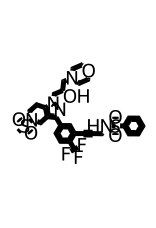 CS(=O)(=O)N1CCc2c(c(-c3ccc(C(F)(F)F)c(C#CCNS(=O)(=O)c4ccccc4)c3)nn2CC(O)CN2CCOCC2)C1